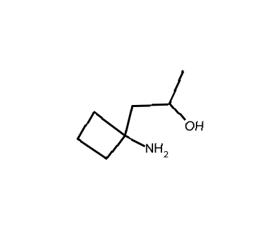 CC(O)CC1(N)CCC1